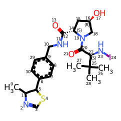 CC1N=CSC1c1ccc(CNC(=O)[C@@H]2C[C@@H](O)CN2C(=O)[C@@H](NI)C(C)(C)C)cc1